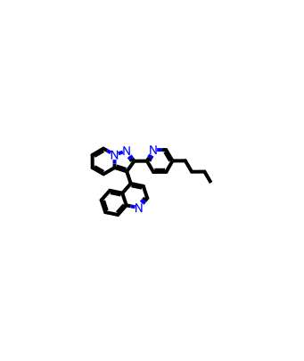 CCCCc1ccc(-c2nn3ccccc3c2-c2ccnc3ccccc23)nc1